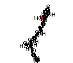 C[C@]12C=CC(=O)C=C1CC[C@@H]1[C@@H]2[C@@H](O)C[C@@]2(C)[C@H]1C[C@H]1OC(c3ccc(CC45C6C7C4C4C5C6C74NC(=O)OCc4ccc(NC(=O)[C@H](CCC(=O)O)NC(=O)CNC(=O)Cc5ccc(-c6nncnn6)cc5)cc4)cc3)O[C@]12C(=O)CO